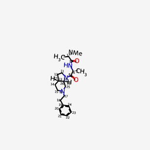 CN[C@@H](C)C(=O)N[C@H](C)C(=O)N1CC[C@H]2CCN(CCc3ccccc3)C[C@H]21